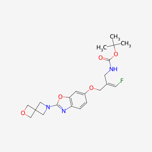 CC(C)(C)OC(=O)NC/C(=C\F)COc1ccc2nc(N3CC4(COC4)C3)oc2c1